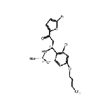 CCc1ccc(C(=O)C[C@H](N[S@+]([O-])C(C)(C)C)c2ccc(OCCCC(F)(F)F)cc2Cl)s1